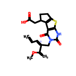 C=C/C=C(/Cn1c(=O)[nH]c2sc3c(c2c1=O)C(CC(=O)O)CC3)C(=C)OC